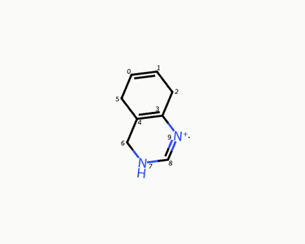 C1=CCC2=C(C1)CNC=[N+]2